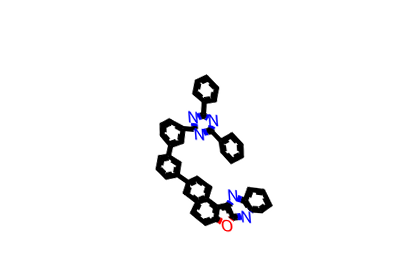 c1ccc(-c2nc(-c3ccccc3)nc(-c3cccc(-c4cccc(-c5ccc6c(ccc7oc8nc9ccccc9nc8c76)c5)c4)c3)n2)cc1